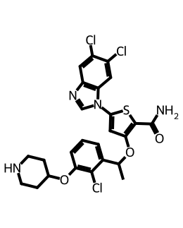 CC(Oc1cc(-n2cnc3cc(Cl)c(Cl)cc32)sc1C(N)=O)c1cccc(OC2CCNCC2)c1Cl